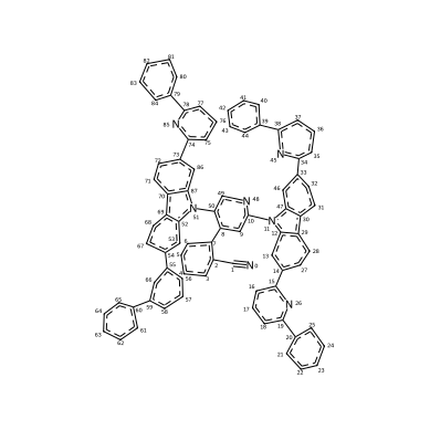 N#Cc1ccccc1-c1cc(-n2c3cc(-c4cccc(-c5ccccc5)n4)ccc3c3ccc(-c4cccc(-c5ccccc5)n4)cc32)ncc1-n1c2cc(-c3cccc(-c4ccccc4)c3)ccc2c2ccc(-c3cccc(-c4ccccc4)n3)cc21